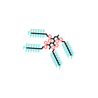 CCC(CC(CC(CC(C)C(=O)OCCC(F)(F)C(F)(F)C(F)(F)C(F)(F)C(F)(F)C(F)(F)F)C(=O)OCCC(F)(F)C(F)(F)C(F)(F)C(F)(F)C(F)(F)C(F)(F)F)C(=O)OCCC(F)(F)C(F)(F)C(F)(F)C(F)(F)C(F)(F)C(F)(F)F)C(=O)OCCC(F)(F)C(F)(F)C(F)(F)C(F)(F)C(F)(F)C(F)(F)F